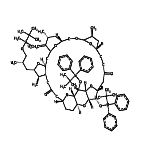 C=C1C[C@@H]2CCC(=O)C[C@H]3O[C@H]4[C@@H](O[Si](c5ccccc5)(c5ccccc5)C(C)(C)C)[C@H]5O[C@H](CC[C@@H]5O[C@H]4[C@H]3O[Si](c3ccccc3)(c3ccccc3)C(C)(C)C)CC(=O)CC3[C@@H](C)C(C[C@H](C)CO[Si](C)(C)C(C)(C)C)O[C@H]3CC3O[C@@H](CCC1O2)C[C@@H](C)C3=C